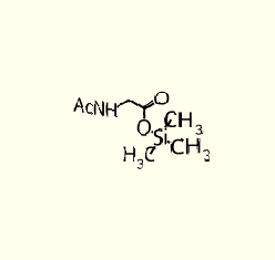 CC(=O)NCC(=O)O[Si](C)(C)C